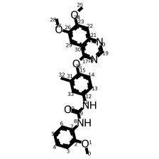 COc1ccccc1NC(=O)Nc1ccc(Oc2ncnc3cc(OC)c(OC)cc23)c(C)c1